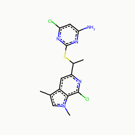 Cc1cn(C)c2c(Cl)nc(C(C)Sc3nc(N)cc(Cl)n3)cc12